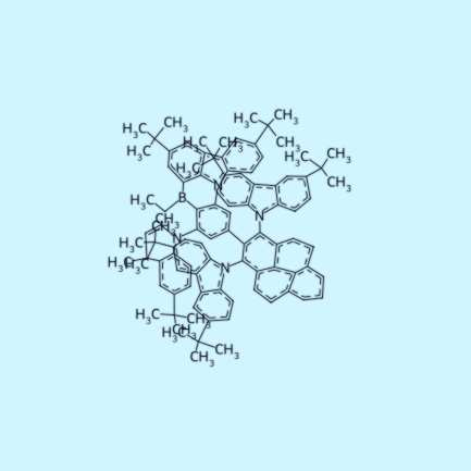 CCB1c2c(N3C(C)=CC(C)c4cc(C(C)(C)C)ccc43)cc(-c3c(-n4c5ccc(C(C)(C)C)cc5c5cc(C(C)(C)C)ccc54)c4ccc5cccc6ccc(c3-n3c7ccc(C(C)(C)C)cc7c7cc(C(C)(C)C)ccc73)c4c56)cc2-n2c3ccc(C(C)(C)C)cc3c3cc(C(C)(C)C)cc1c32